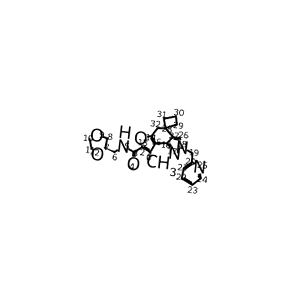 Cc1c(C(=O)NC[C@@H]2COCCO2)oc2c1-c1nn(Cc3ccccn3)cc1C1(CCC1)C2